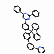 c1ccc(-c2cc(-c3cccc(C4(c5cccc(-c6cccc(-c7ccccn7)c6)c5)c5ccccc5-c5ccccc54)c3)nc(-c3ccccc3)n2)cc1